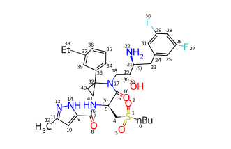 CCCCS(=O)(=O)C[C@@H](NC(=O)c1cc(C)n[nH]1)C(=O)N(C[C@@H](O)[C@@H](N)Cc1cc(F)cc(F)c1)C1(c2cccc(CC)c2)CC1